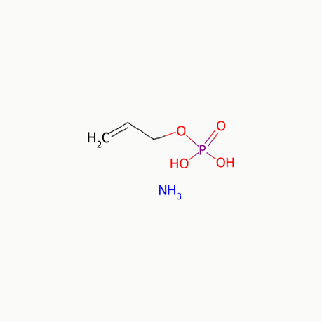 C=CCOP(=O)(O)O.N